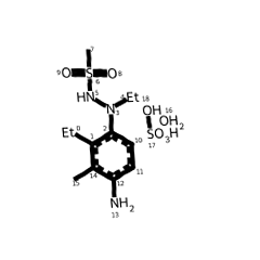 CCc1c(N(CC)NS(C)(=O)=O)ccc(N)c1C.O.O=S(=O)(O)O